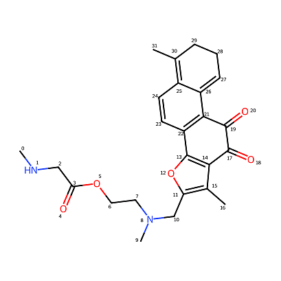 CNCC(=O)OCCN(C)Cc1oc2c(c1C)C(=O)C(=O)c1c-2ccc2c1=CCCC=2C